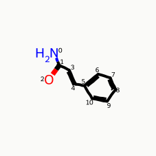 NC(=O)C=Cc1cc[c]cc1